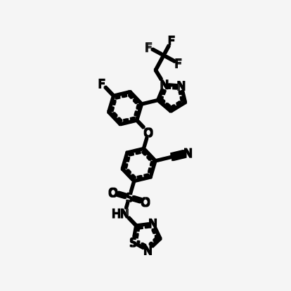 N#Cc1cc(S(=O)(=O)Nc2ncns2)ccc1Oc1ccc(F)cc1-c1ccnn1CC(F)(F)F